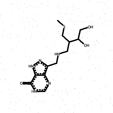 CSCC(CNCc1n[nH]c2c(=O)[nH]cnc12)C(O)CO